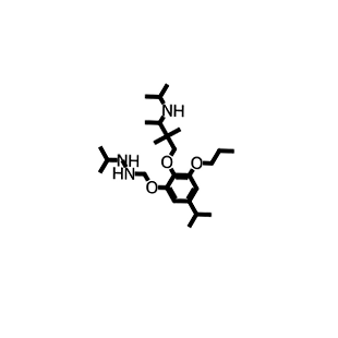 CCCOc1cc(C(C)C)cc(OCNNC(C)C)c1OCC(C)(C)C(C)NC(C)C